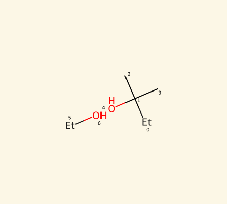 CCC(C)(C)O.CCO